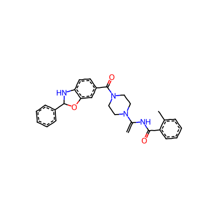 C=C(NC(=O)c1ccccc1C)N1CCN(C(=O)c2ccc3c(c2)OC(c2ccccc2)N3)CC1